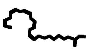 CC/C=C\C/C=C\C/C=C\C/C=C\C/C=C\CCCCCCCC(=O)OC